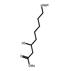 CCCCCCCCCCCCC(S)CC(=O)OC